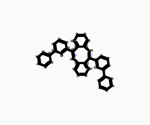 c1ccc(-c2cccc(/C3=N/c4cccnc4/C(c4cccc(-c5ccccc5)n4)=N\c4cccnc43)n2)cc1